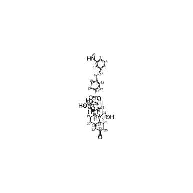 CNc1cccc(SCc2ccc([C@@H]3O[C@@H]4C[C@H]5[C@@H]6CCC7=CC(=O)C=C[C@]7(C)[C@@]6(F)[C@@H](O)C[C@]5(C)[C@]4(C(=O)CO)O3)cc2)c1